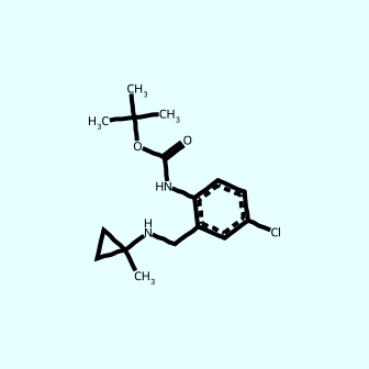 CC1(NCc2cc(Cl)ccc2NC(=O)OC(C)(C)C)CC1